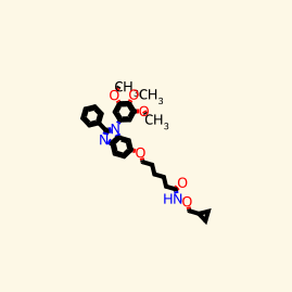 COc1cc(-n2c(-c3ccccc3)nc3ccc(OCCCCCC(=O)NOCC4CC4)cc32)cc(OC)c1OC